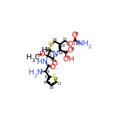 CO[C@@]1(NC(=O)C(N)c2cccs2)C(=O)N2C(C(=O)O)=C(COC(N)=O)CS[C@H]21